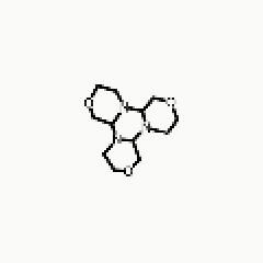 C1CN2C(CO1)N1CCOCC1N1CCOCC21